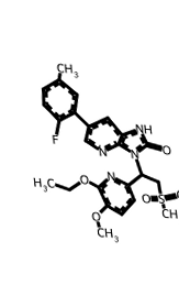 CCOc1nc(C(CS(C)(=O)=O)n2c(=O)[nH]c3cc(-c4cc(C)ccc4F)cnc32)ccc1OC